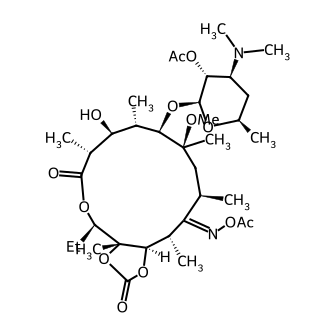 CC[C@H]1OC(=O)[C@H](C)[C@@H](O)[C@H](C)[C@@H](O[C@@H]2O[C@H](C)C[C@H](N(C)C)[C@H]2OC(C)=O)[C@@](C)(OC)C[C@@H](C)/C(=N\OC(C)=O)[C@H](C)[C@H]2OC(=O)O[C@@]21C